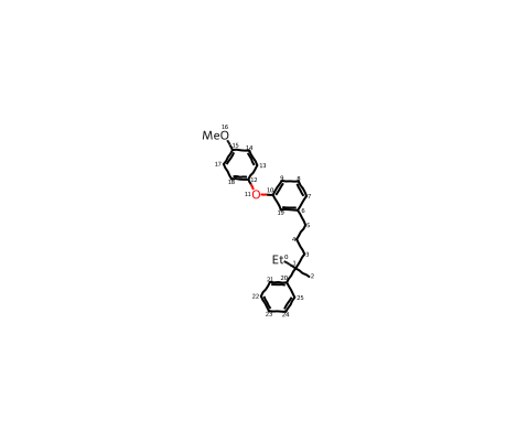 CCC(C)(CCCc1cccc(Oc2ccc(OC)cc2)c1)c1ccccc1